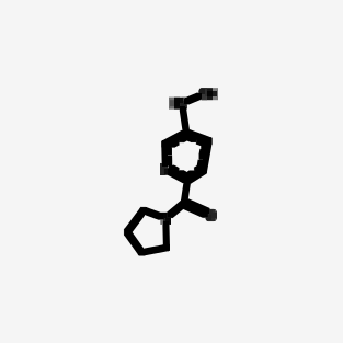 O=C(c1ccc(NO)cn1)N1CCCC1